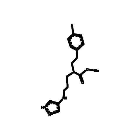 CC(C)(C)OC(=O)N(CCCNc1cn[nH]c1)CCc1ccc(F)cc1